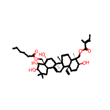 C=C[C@]12CC[C@H](O)[C@](C)(COC(=O)/C(C)=C/C)C1CC[C@]1(C)C2CC=C2C3CC(C)(C)[C@@H](O)[C@H](O)[C@]3(COC(=O)CCCCC)[C@H](O)C[C@]21C